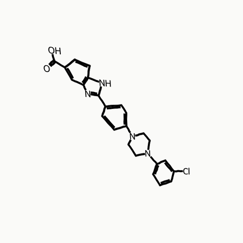 O=C(O)c1ccc2[nH]c(-c3ccc(N4CCN(c5cccc(Cl)c5)CC4)cc3)nc2c1